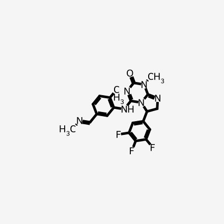 C/N=C/c1ccc(C)c(NC2=NC(=O)N(C)C3=NCC(c4cc(F)c(F)c(F)c4)N23)c1